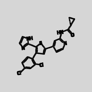 O=C(Nc1cc(-c2cc(-c3ccc(Cl)cc3Cl)c(-c3ncc[nH]3)s2)ccn1)C1CC1